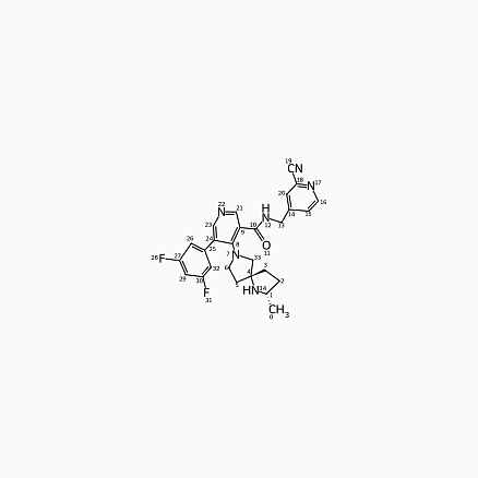 C[C@H]1CC[C@]2(CCN(c3c(C(=O)NCc4ccnc(C#N)c4)cncc3-c3cc(F)cc(F)c3)C2)N1